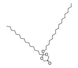 CCCCCCCCCCCCCCCCCCOC1(CCCCCCCCCCCCCCC)OCC(=O)CO1